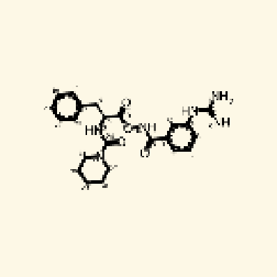 N=C(N)Nc1cccc(C(=O)NOC(=O)[C@H](Cc2ccccc2)NC(=O)N2CCCCC2)c1